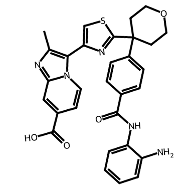 Cc1nc2cc(C(=O)O)ccn2c1-c1csc(C2(c3ccc(C(=O)Nc4ccccc4N)cc3)CCOCC2)n1